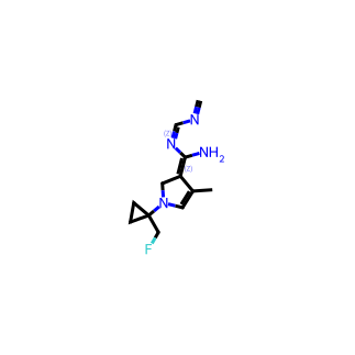 C=N/C=N\C(N)=C1/CN(C2(CF)CC2)C=C1C